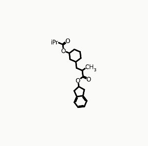 CC(C)C(=O)OC1CCCC(CC(C)C(=O)OC2Cc3ccccc3C2)C1